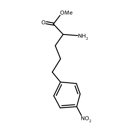 COC(=O)C(N)CCCc1ccc([N+](=O)[O-])cc1